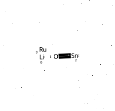 [Li].[O]=[Sn].[Ru]